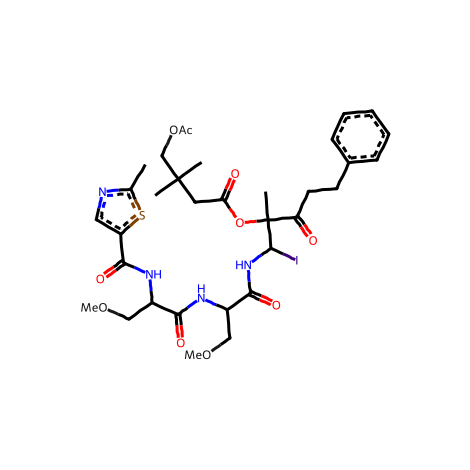 COCC(NC(=O)c1cnc(C)s1)C(=O)NC(COC)C(=O)NC(I)C(C)(OC(=O)CC(C)(C)COC(C)=O)C(=O)CCc1ccccc1